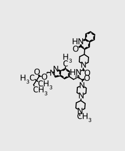 CCC(C)(C)C(=O)OCn1cc2cc(C[C@@H](NC(=O)N3CCC(c4cc5ccccc5[nH]c4=O)CC3)C(=O)N3CCN(C4CCN(C)CC4)CC3)cc(C)c2n1